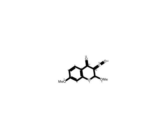 COc1ccc2c(c1)OC(OC)C(=C=O)C2=O